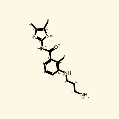 Cc1nc(NC(=O)c2cccc(NCCCN)c2C)sc1C